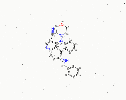 N#Cc1cnc2ccc(NCc3ccccc3)cc2c1N(c1ccccc1)N1CCOCC1